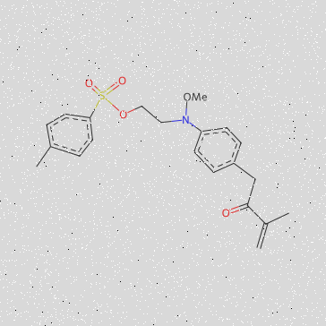 C=C(C)C(=O)Cc1ccc(N(CCOS(=O)(=O)c2ccc(C)cc2)OC)cc1